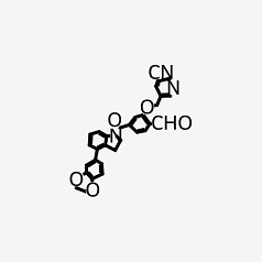 N#Cc1cncc(COc2cc(C(=O)N3CCc4c(-c5ccc6c(c5)OCCO6)cccc43)ccc2C=O)c1